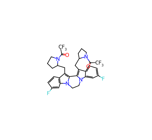 O=C(N1CCCC1Cc1c2n(c3cc(F)ccc13)CCn1c-2c(CC2CCCN2C(=O)C(F)(F)F)c2ccc(F)cc21)C(F)(F)F